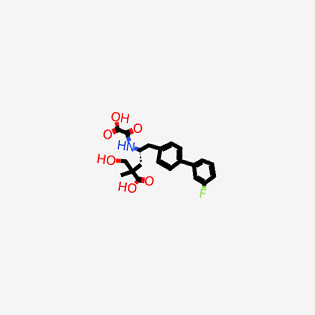 CC(CO)(C[C@@H](Cc1ccc(-c2cccc(F)c2)cc1)NC(=O)C(=O)O)C(=O)O